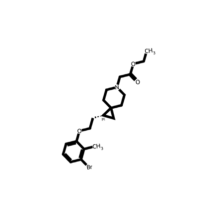 CCOC(=O)CN1CCC2(CC1)C[C@@H]2CCOc1cccc(Br)c1C